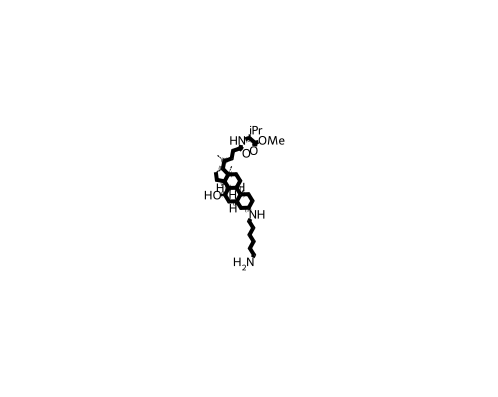 COC(=O)[C@@H](NC(=O)CC[C@@H](C)[C@H]1CC[C@H]2[C@@H]3[C@H](O)C[C@@H]4C[C@@H](NCCCCCCN)CC[C@]4(C)[C@H]3CC[C@]12C)C(C)C